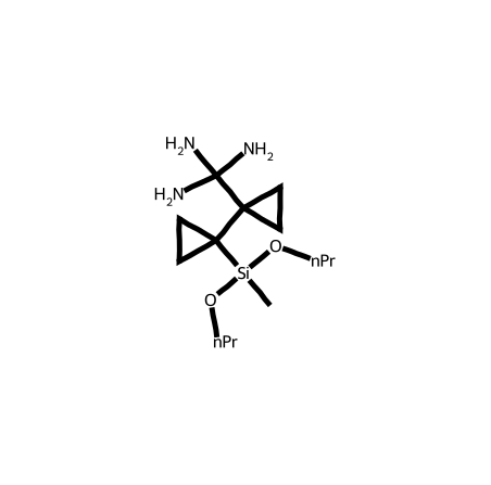 CCCO[Si](C)(OCCC)C1(C2(C(N)(N)N)CC2)CC1